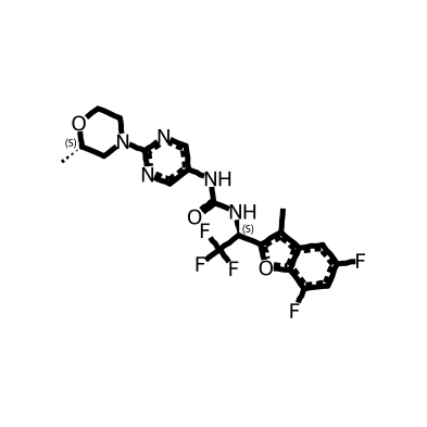 Cc1c([C@H](NC(=O)Nc2cnc(N3CCO[C@@H](C)C3)nc2)C(F)(F)F)oc2c(F)cc(F)cc12